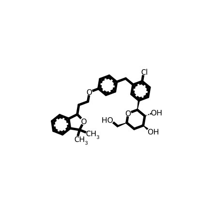 CC1(C)OC(CCOc2ccc(Cc3cc([C@@H]4O[C@H](CO)C[C@H](O)[C@H]4O)ccc3Cl)cc2)c2ccccc21